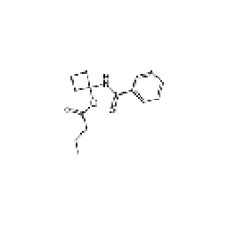 CCCC(=O)OC1(NC(=O)c2ccccc2)CCC1